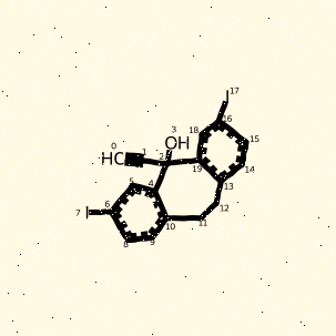 C#CC1(O)c2cc(I)ccc2CCc2ccc(I)cc21